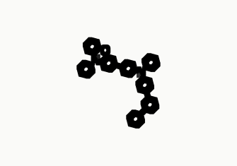 c1ccc(-c2cccc(-c3ccc(N(c4ccccc4)c4ccc(-c5ccc6c(c5)Oc5ccccc5N6c5ccccc5)cc4)cc3)c2)cc1